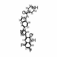 O=C(Cn1ccc2cc(-n3cc(-c4cc5c(F)cc(F)cc5[nH]c4=O)nn3)ccc21)N1CCNCC1